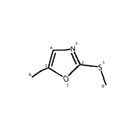 CSc1ncc(C)o1